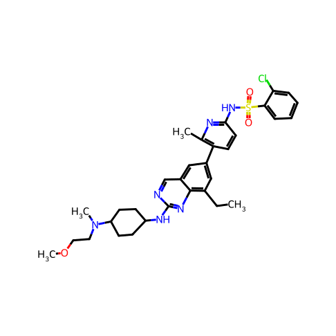 CCc1cc(-c2ccc(NS(=O)(=O)c3ccccc3Cl)nc2C)cc2cnc(NC3CCC(N(C)CCOC)CC3)nc12